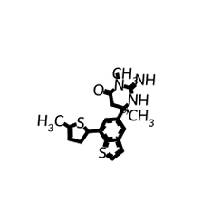 CC1=CCC(c2cc([C@]3(C)CC(=O)N(C)C(=N)N3)cc3ccsc23)S1